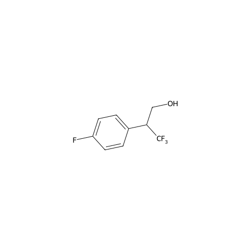 OCC(c1ccc(F)cc1)C(F)(F)F